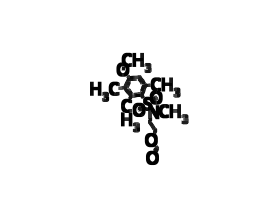 COc1cc(C)c(S(=O)(=O)N(C)CCOC=O)c(C)c1C